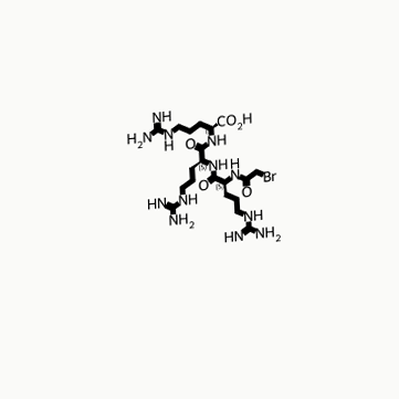 N=C(N)NCCC[C@H](NC(=O)[C@H](CCCNC(=N)N)NC(=O)[C@H](CCCNC(=N)N)NC(=O)CBr)C(=O)O